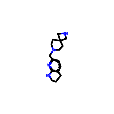 c1cc2c(nc1CN1CCC3(CC1)CNC3)NCCC2